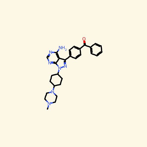 CN1CCN(C2CCC(n3nc(-c4ccc(C(=O)c5ccccc5)cc4)c4c(N)ncnc43)CC2)CC1